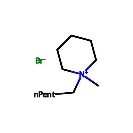 CCCCCC[N+]1(C)CCCCC1.[Br-]